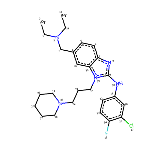 CC(C)CN(Cc1ccc2nc(Nc3ccc(F)c(Cl)c3)n(CCCN3CCCCC3)c2c1)CC(C)C